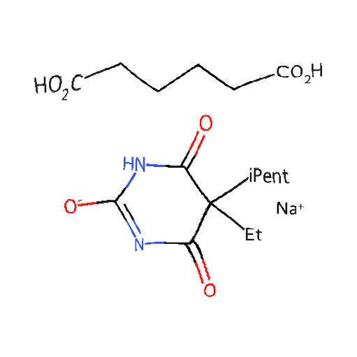 CCCC(C)C1(CC)C(=O)N=C([O-])NC1=O.O=C(O)CCCCC(=O)O.[Na+]